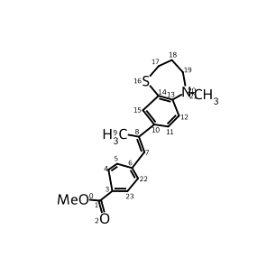 COC(=O)c1ccc(/C=C(\C)c2ccc3c(c2)SCCCN3C)cc1